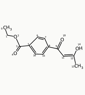 CCOC(=O)c1ccc(C(=O)C=C(C)O)cc1